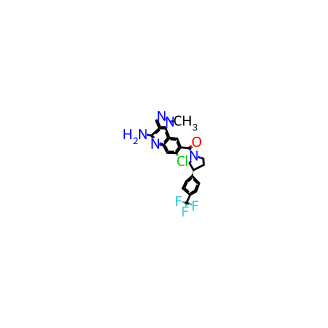 Cn1ncc2c(N)nc3cc(Cl)c(C(=O)N4CC[C@H](c5ccc(C(F)(F)F)cc5)C4)cc3c21